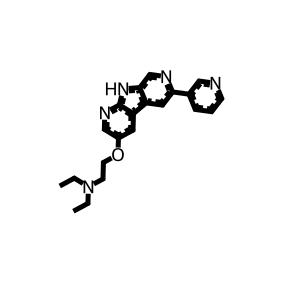 CCN(CC)CCOc1cnc2[nH]c3cnc(-c4cccnc4)cc3c2c1